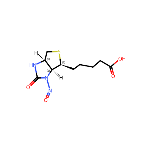 O=NN1C(=O)N[C@H]2CS[C@@H](CCCCC(=O)O)[C@H]21